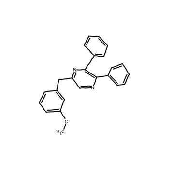 COc1cccc(Cc2cnc(-c3ccccc3)c(-c3ccccc3)n2)c1